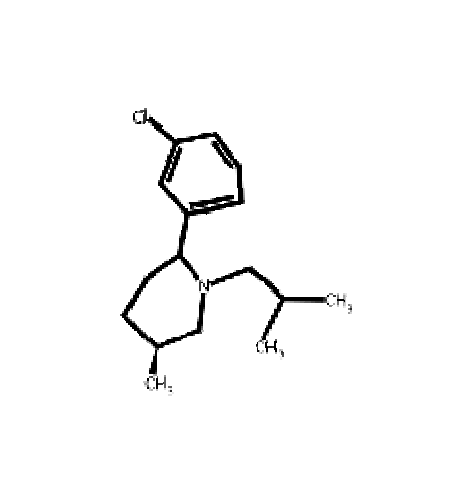 C[C](C)CN1C[C@@H](C)CCC1c1cccc(Cl)c1